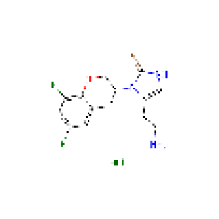 Cl.NCCc1c[nH]c(=S)n1C1COc2c(F)cc(F)cc2C1